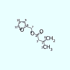 C=C(C)CC(=O)OCc1ccco1